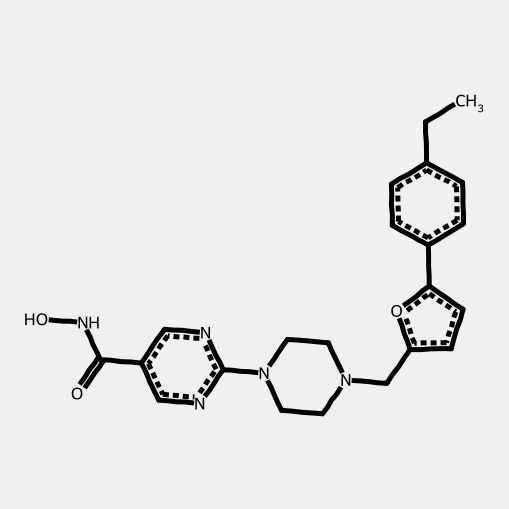 CCc1ccc(-c2ccc(CN3CCN(c4ncc(C(=O)NO)cn4)CC3)o2)cc1